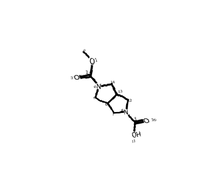 COC(=O)N1CC2CN(C(=O)O)CC2C1